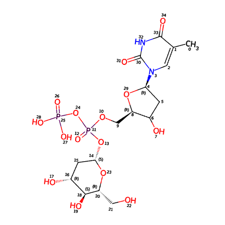 Cc1cn([C@H]2CC(O)[C@@H](COP(=O)(O[C@H]3C[C@@H](O)[C@H](O)[C@@H](CO)O3)OP(=O)(O)O)O2)c(=O)[nH]c1=O